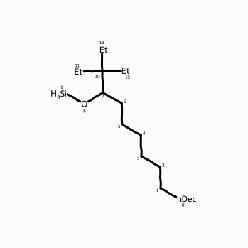 CCCCCCCCCCCCCCCCC(O[SiH3])C(CC)(CC)CC